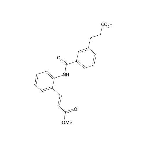 COC(=O)C=Cc1ccccc1NC(=O)c1cccc(CCC(=O)O)c1